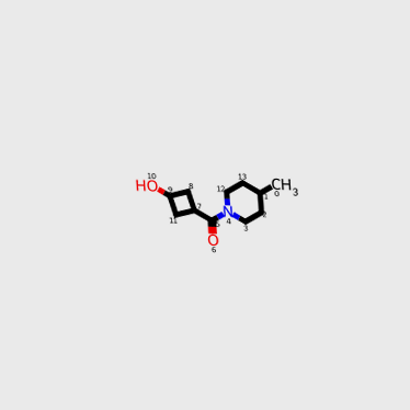 CC1CCN(C(=O)C2CC(O)C2)CC1